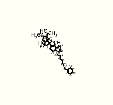 CCC(CC(=O)O)(c1ccc(OC)c(C(C)O)c1)c1ccc2c(nnn2CCCCCOCc2ccccc2)c1C